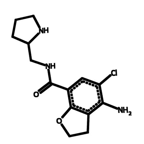 Nc1c(Cl)cc(C(=O)NCC2CCCN2)c2c1CCO2